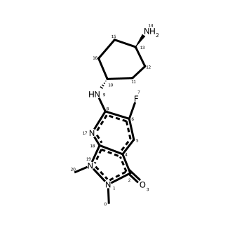 Cn1c(=O)c2cc(F)c(N[C@H]3CC[C@H](N)CC3)nc2n1C